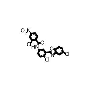 O=C(Nc1ccc(Cl)c(-c2nc3cc(Cl)ccc3o2)c1)c1ccc([N+](=O)[O-])cc1Cl